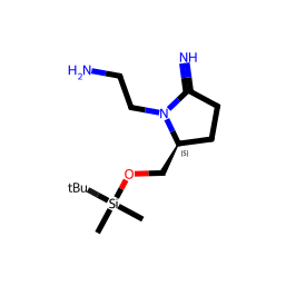 CC(C)(C)[Si](C)(C)OC[C@@H]1CCC(=N)N1CCN